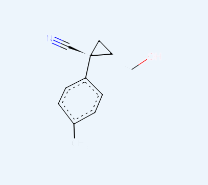 Cc1ccc([C@]2(C#N)C[C@@H]2CO)cc1